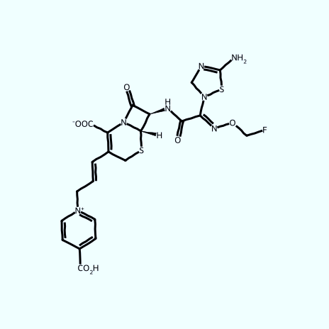 NC1=NCN(/C(=N\OCF)C(=O)N[C@@H]2C(=O)N3C(C(=O)[O-])=C(/C=C/C[n+]4ccc(C(=O)O)cc4)CS[C@@H]23)S1